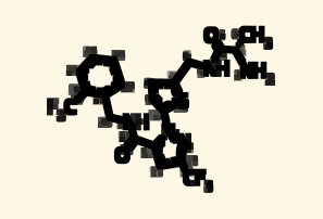 C[C@H](N)C(=O)NCc1ccc(-n2nc(C(F)(F)F)cc2C(=O)NCc2ccccc2C(F)(F)F)s1